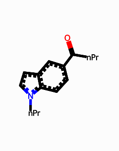 CCCC(=O)c1ccc2c(ccn2CCC)c1